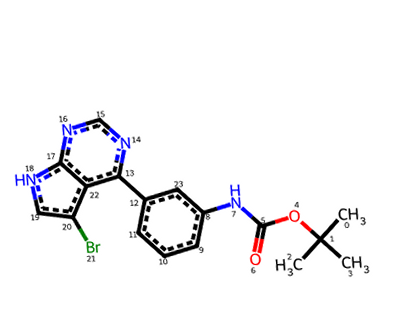 CC(C)(C)OC(=O)Nc1cccc(-c2ncnc3[nH]cc(Br)c23)c1